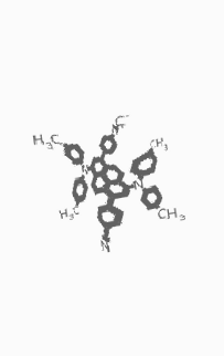 [C-]#[N+]c1ccc(-c2cc(N(c3ccc(C)cc3)c3ccc(C)cc3)c3ccc4c(-c5ccc(C#N)cc5)cc(N(c5ccc(C)cc5)c5ccc(C)cc5)c5ccc2c3c45)cc1